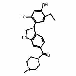 CCc1cc(N2[CH]Nc3cc(C(=O)N4CCN(C)CC4)ccc32)c(O)cc1O